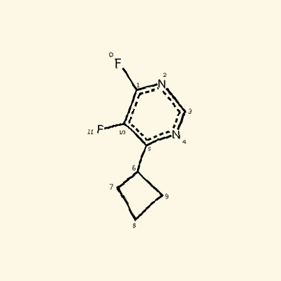 Fc1n[c]nc(C2CCC2)c1F